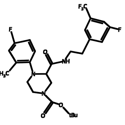 Cc1cc(F)ccc1N1CCN(C(=O)OC(C)(C)C)CC1C(=O)NCCc1cc(F)cc(C(F)(F)F)c1